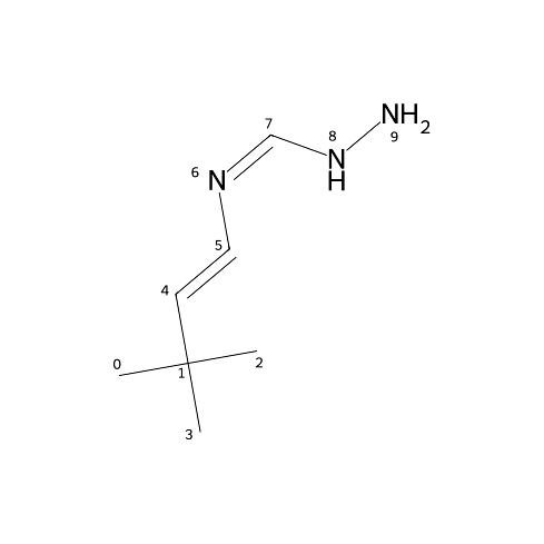 CC(C)(C)/C=C/N=C\NN